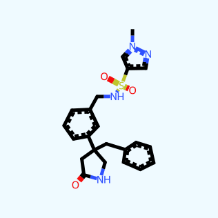 Cn1cc(S(=O)(=O)NCc2cccc(C3(Cc4ccccc4)CNC(=O)C3)c2)cn1